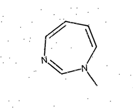 CN1C=CC=CN=C1